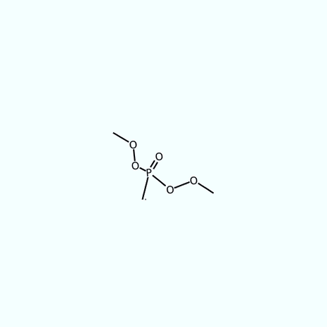 [CH2]P(=O)(OOC)OOC